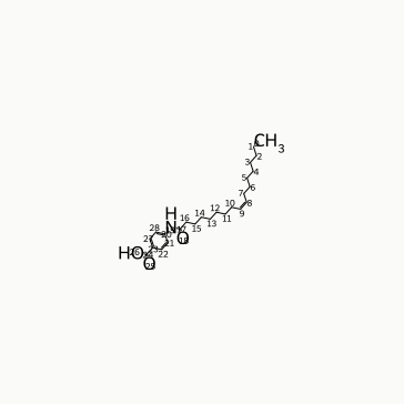 CCCCCCCC/C=C\CCCCCCCC(=O)Nc1ccc(C(=O)O)cc1